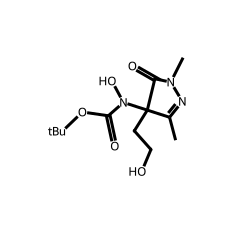 CC1=NN(C)C(=O)C1(CCO)N(O)C(=O)OC(C)(C)C